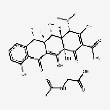 CC(=O)NCC(=O)O.C[C@H]1c2cccc(O)c2C(=O)C2=C(O)[C@]3(O)C(=O)C(C(N)=O)=C(O)[C@@H](N(C)C)[C@H]3[C@@H](O)[C@@H]21